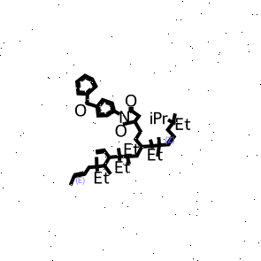 C=CC(C(C)C(C)(CC)C/C=C/C)C(C)(CC)C(C)(CC)CC(CCC1CC(=O)N(c2ccc(C(=O)c3ccccc3)cc2)C1=O)C(C)(CC)C(C)(C)/C=C\CC(C)(CC)C(C)C